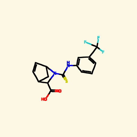 O=C(O)C1C2C=CC(C2)N1C(=S)Nc1cccc(C(F)(F)F)c1